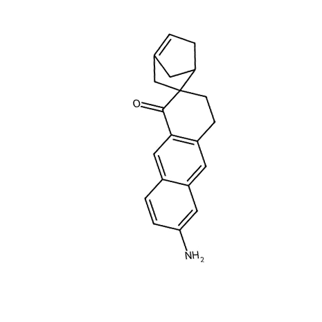 Nc1ccc2cc3c(cc2c1)CCC1(CC2=CCC1C2)C3=O